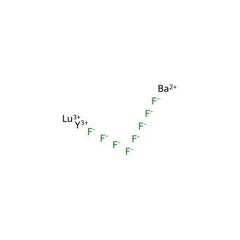 [Ba+2].[F-].[F-].[F-].[F-].[F-].[F-].[F-].[F-].[Lu+3].[Y+3]